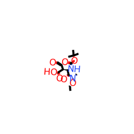 CCON(C)C(=O)C(NC(=O)OC(C)(C)C)[C@H](C=C=O)C(=O)O